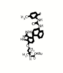 Cc1ccc(F)c(NC(=O)Nc2ccc(-c3ccc(OCCC(C)(C)NC(=O)OC(C)(C)C)c4[nH]nc(N)c34)c3ccccc23)c1